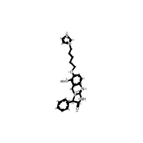 COc1c(OCCCCCn2ccnc2)ccc2c1CN1C(=N2)NC(=O)C1c1ccccc1